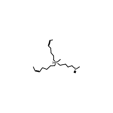 C#P(C)CCCC[PH](C)(CCCC/C=C\C)CCCC/C=C\C